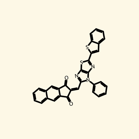 O=C1C(=Cc2nc3sc(-c4cc5ccccc5s4)nc3n2-c2ccccc2)C(=O)c2cc3ccccc3cc21